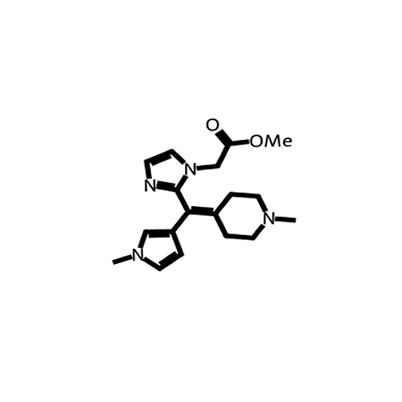 COC(=O)Cn1ccnc1C(=C1CCN(C)CC1)c1ccn(C)c1